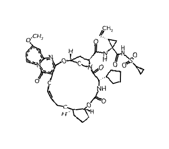 C=C[C@@H]1C[C@]1(NC(=O)[C@@H]1C[C@@H]2CN1C(=O)[C@H](C1CCCC1)NC(=O)O[C@@H]1CCC[C@H]1CCC=CCc1c(nc3cc(OC)ccn3c1=O)O2)C(=O)NS(=O)(=O)C1CC1